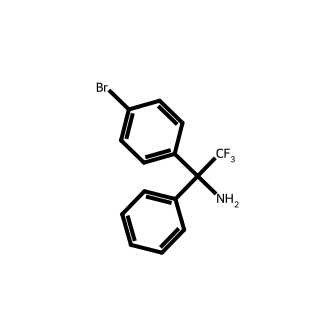 NC(c1ccccc1)(c1ccc(Br)cc1)C(F)(F)F